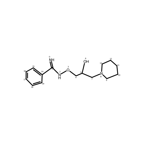 N=C(NOCC(O)CN1CCCCC1)c1ccccc1